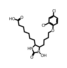 O=C(O)CCCCCCC1NC(=O)N(O)C1CCCCOc1ccc(Cl)cc1Cl